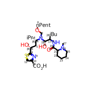 CCCCCOCN([C@H](C[C@@H](O)c1nc(C(=O)O)cs1)C(C)C)[C@@H](O)C(NC(=O)C1CCCCN1C)C(C)CC